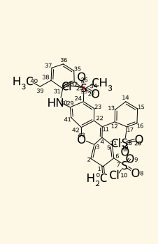 C=c1cc2c(cc1S(=O)(=O)Cl)=C(c1ccccc1S(=O)(=O)Cl)c1cc(S(=O)(=O)Cl)c(Nc3c(CC)cccc3CC)cc1O2